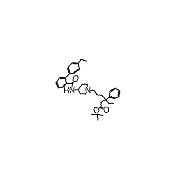 CCc1ccc(-c2ccccc2C(=O)NC2CCN(CCCC(CC)(CC(=O)OC(C)(C)C)c3ccccc3)CC2)cc1